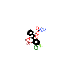 CNC(=O)OC[C@]1(c2ccccc2)Oc2cc(F)c(Cl)c(Br)c2[C@@H]1COC